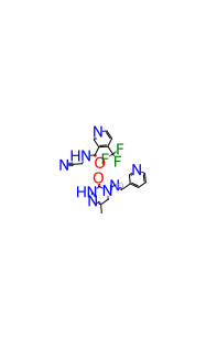 CC1=NNC(=O)N(/N=C/c2cccnc2)C1.N#CCNC(=O)c1cnccc1C(F)(F)F